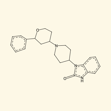 O=c1[nH]c2ccccc2n1C1CCN(C2CCOC(c3ccccc3)C2)CC1